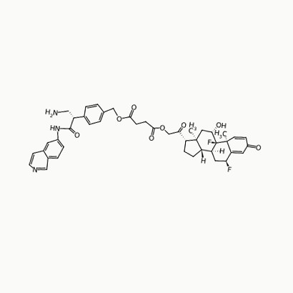 C[C@]12C[C@H](O)[C@@]3(F)[C@@H](C[C@H](F)C4=CC(=O)C=C[C@@]43C)[C@@H]1CC[C@@H]2C(=O)COC(=O)CCC(=O)OCc1ccc([C@@H](CN)C(=O)Nc2ccc3cnccc3c2)cc1